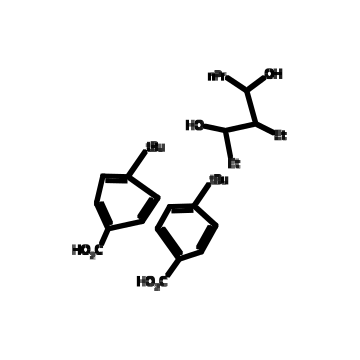 CC(C)(C)c1ccc(C(=O)O)cc1.CC(C)(C)c1ccc(C(=O)O)cc1.CCCC(O)C(CC)C(O)CC